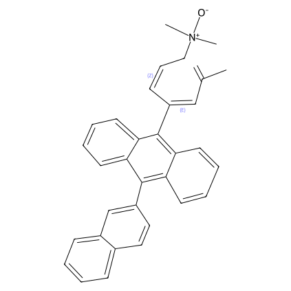 C=C(C)/C=C(\C=C/C[N+](C)(C)[O-])c1c2ccccc2c(-c2ccc3ccccc3c2)c2ccccc12